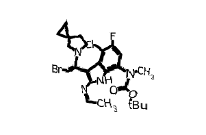 C/C=N\c1[nH]c2c(N(C)C(=O)OC(C)(C)C)cc(F)c(Cl)c2c1/C(=C/Br)N1CCC2(CC2)C1